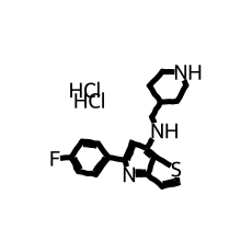 Cl.Cl.Fc1ccc(-c2cc(NCC3CCNCC3)c3sccc3n2)cc1